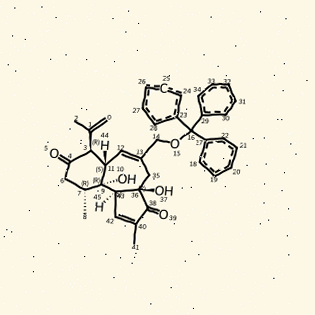 C=C(C)[C@@H]1C(=O)C[C@@H](C)[C@@]2(O)[C@H]1C=C(COC(c1ccccc1)(c1ccccc1)c1ccccc1)C[C@]1(O)C(=O)C(C)=C[C@@H]21